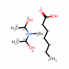 CCCCCCC(=O)O.CCCCN(C(C)O)C(C)O